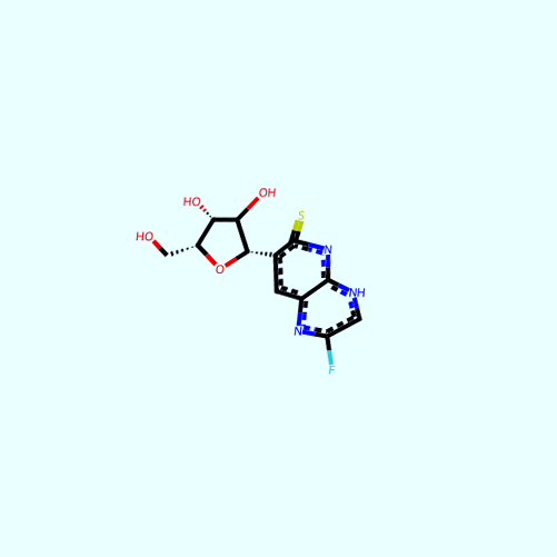 OC[C@H]1O[C@@H](c2cc3nc(F)c[nH]c-3nc2=S)C(O)[C@H]1O